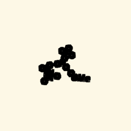 COc1ccc(-c2ccc(N(c3ccc(-c4ccc5c6ccccc6n(-c6nc(-c7ccccc7)nc(-c7ccccc7)n6)c5c4)cc3)c3ccc4c(c3)-c3ccccc3C4(c3ccccc3)c3ccccc3)cc2)cc1